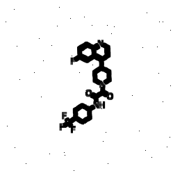 O=C(NC1CCC(C(F)(F)F)CC1)C(=O)N1CCC(c2ccnc3ccc(F)cc23)CC1